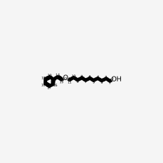 OCCCCCCCCCCCOC=Cc1ccccc1